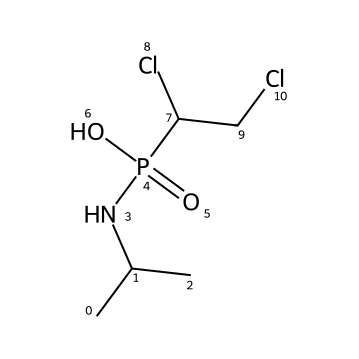 CC(C)NP(=O)(O)C(Cl)CCl